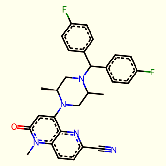 CC1CN(c2cc(=O)n(C)c3ccc(C#N)nc23)[C@@H](C)CN1C(c1ccc(F)cc1)c1ccc(F)cc1